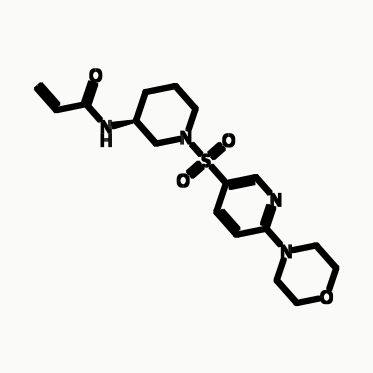 C=CC(=O)N[C@H]1CCCN(S(=O)(=O)c2ccc(N3CCOCC3)nc2)C1